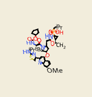 C=C[C@@H]1C[C@]1(NC(=O)CC1C[C@@H](Oc2cc(-c3csc(NC(C)C)n3)nc3cc(OC)ccc23)CN1C(=O)[C@@H](NC(=O)OC1CCCC1)C(C)(C)C)P(=O)(O)CC(C)C